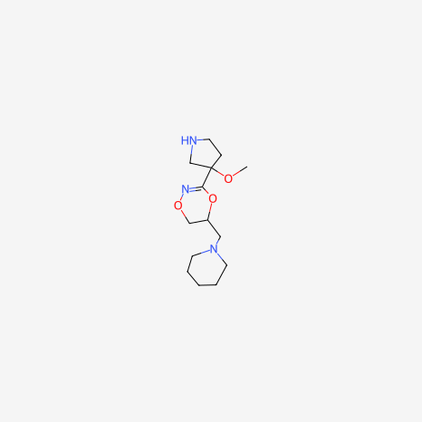 COC1(C2=NOCC(CN3CCCCC3)O2)CCNC1